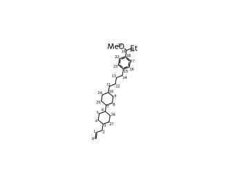 C=CCC1CCC(C2CCC(CCCCc3ccc(C(CC)OC)cc3)CC2)CC1